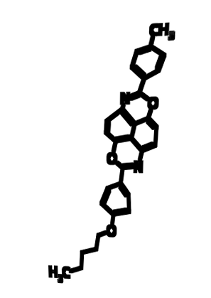 CCCCCOc1ccc(C2=Nc3ccc4c5c(ccc(c35)O2)N=C(c2ccc(C)cc2)O4)cc1